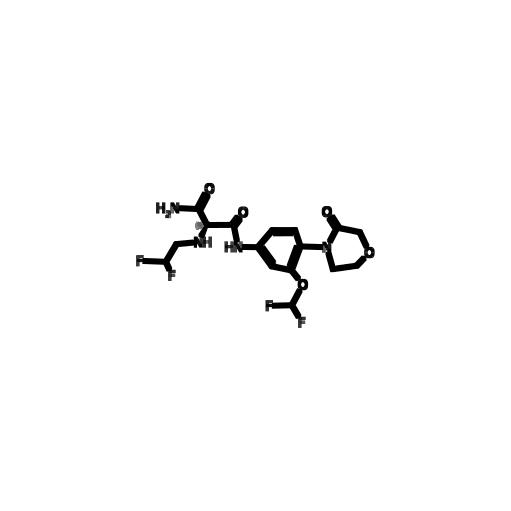 NC(=O)[C@H](NCC(F)F)C(=O)Nc1ccc(N2CCOCC2=O)c(OC(F)F)c1